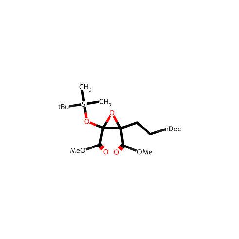 CCCCCCCCCCCCC1(C(=O)OC)OC1(O[Si](C)(C)C(C)(C)C)C(=O)OC